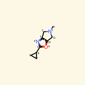 CN1Cc2nc(C3CC3)oc2C1